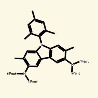 CCCCCN(CCCCC)c1cc2c(cc1C)B(c1c(C)cc(C)cc1C)c1cc(C)c(N(CCCCC)CCCCC)cc1-2